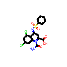 NC(=O)n1c(C(=O)O)cc(=NS(=O)(=O)c2ccccc2)c2c(Cl)cc(Cl)cc21